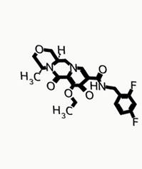 CCOc1c2n(cc(C(=O)NCc3ccc(F)cc3F)c1=O)C[C@@H]1COC[C@@H](C)N1C2=O